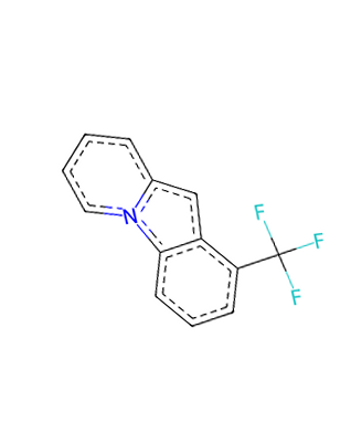 FC(F)(F)c1cccc2c1cc1ccccn12